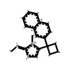 CN=c1scc(C2(c3ccc4ccccc4c3)CCC2)n1C